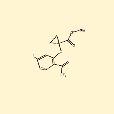 C=C(c1ccc(F)cc1OC1(C(=O)OC(C)(C)C)CC1)C(F)(F)F